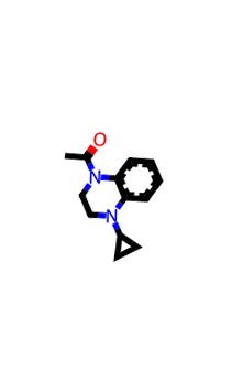 CC(=O)N1CCN(C2CC2)c2ccccc21